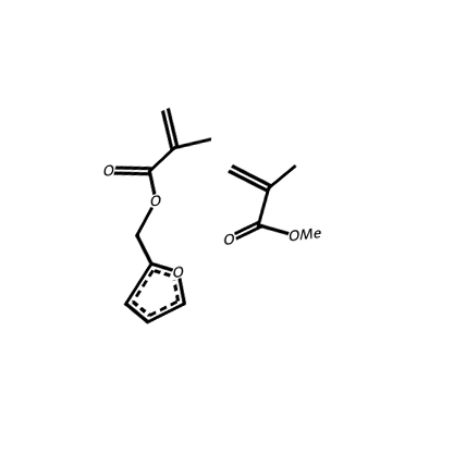 C=C(C)C(=O)OC.C=C(C)C(=O)OCc1ccco1